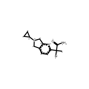 CC(Br)(C(N)=O)c1ccc2c(n1)CN(C1CC1)C2